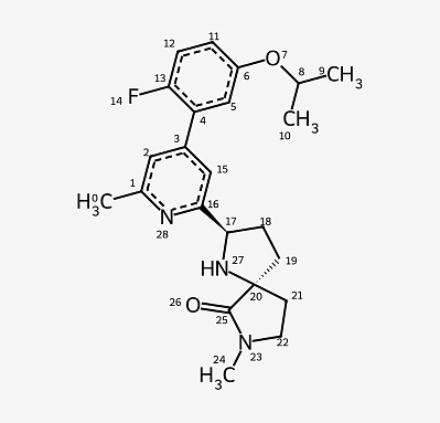 Cc1cc(-c2cc(OC(C)C)ccc2F)cc([C@H]2CC[C@@]3(CCN(C)C3=O)N2)n1